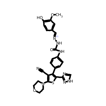 COc1cc(/C=N/NC(=O)Nc2ccc(-c3c(-c4nc[nH]n4)sc(N4CCOCC4)c3C#N)cc2)ccc1O